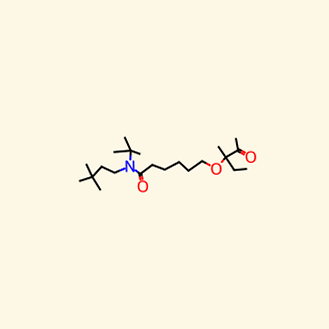 CCC(C)(OCCCCCC(=O)N(CCC(C)(C)C)C(C)(C)C)C(C)=O